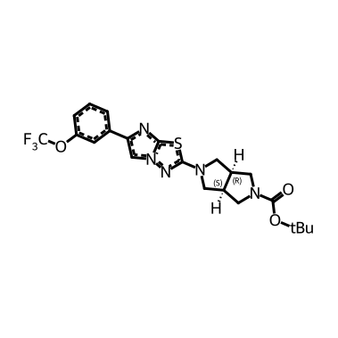 CC(C)(C)OC(=O)N1C[C@@H]2CN(c3nn4cc(-c5cccc(OC(F)(F)F)c5)nc4s3)C[C@@H]2C1